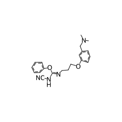 CN(C)Cc1cccc(OCCC/N=C(/NC#N)Oc2ccccc2)c1